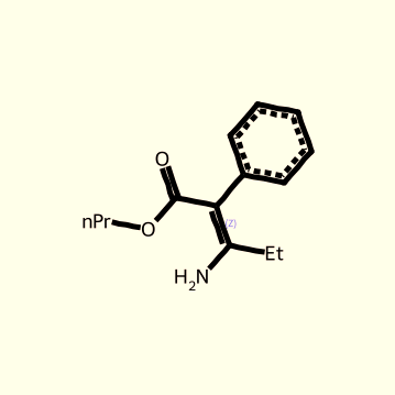 CCCOC(=O)/C(=C(\N)CC)c1ccccc1